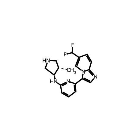 C[C@H]1CNC[C@@H]1Nc1cccc(-c2cnc3ccc(C(F)F)cn23)n1